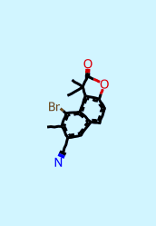 Cc1c(C#N)cc2ccc3c(c2c1Br)C(C)(C)C(=O)O3